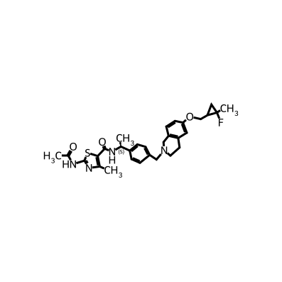 CC(=O)Nc1nc(C)c(C(=O)N[C@@H](C)c2ccc(CN3CCc4cc(OCC5CC5(C)F)ccc4C3)cc2)s1